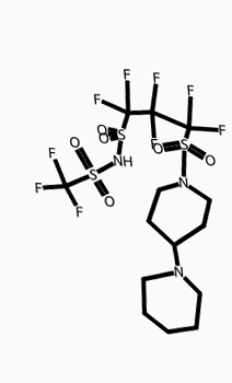 O=S(=O)(NS(=O)(=O)C(F)(F)C(F)(F)C(F)(F)S(=O)(=O)N1CCC(N2CCCCC2)CC1)C(F)(F)F